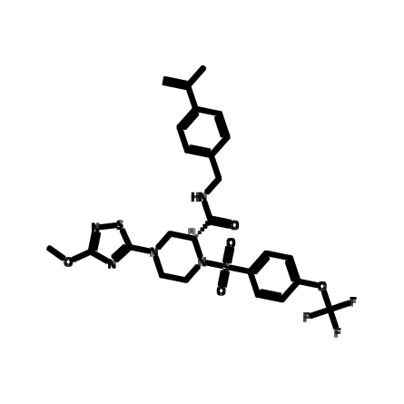 C=C(C)c1ccc(CNC(=O)[C@H]2CN(c3nc(OC)ns3)CCN2S(=O)(=O)c2ccc(OC(F)(F)F)cc2)cc1